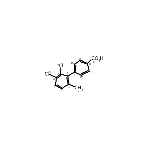 Cc1ccc(Cl)c(Cl)c1-c1ccc(C(=O)O)cc1